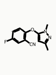 Cc1cc(Oc2c[c]c(F)cc2C#N)n(C)n1